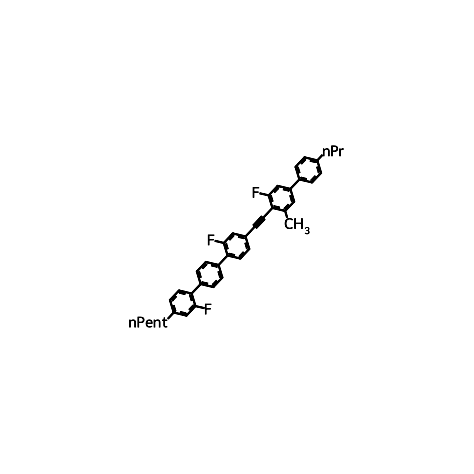 CCCCCc1ccc(-c2ccc(-c3ccc(C#Cc4c(C)cc(-c5ccc(CCC)cc5)cc4F)cc3F)cc2)c(F)c1